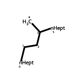 [CH2]CCCCCCCCC(C)CCCCCCC